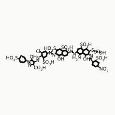 Nc1c(N=Nc2ccc3c(O)c(N=Nc4cc(Cl)c(N=Nc5c(C(=O)O)nn(-c6ccc(S(=O)(=O)O)cc6)c5O)c(S(=O)(=O)O)c4)c(S(=O)(=O)O)cc3c2S(=O)(=O)O)cc(S(=O)(=O)O)c2cc(SOOO)c(N=Nc3ccc([N+](=O)[O-])cc3S(=O)(=O)O)c(O)c12